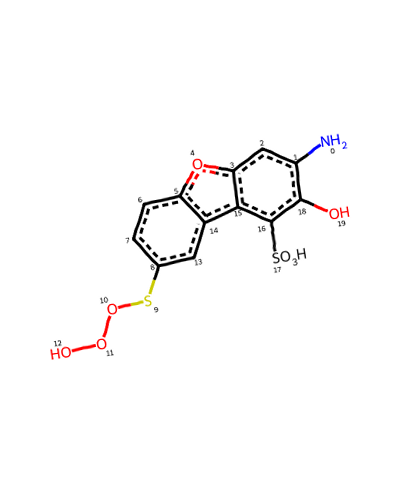 Nc1cc2oc3ccc(SOOO)cc3c2c(S(=O)(=O)O)c1O